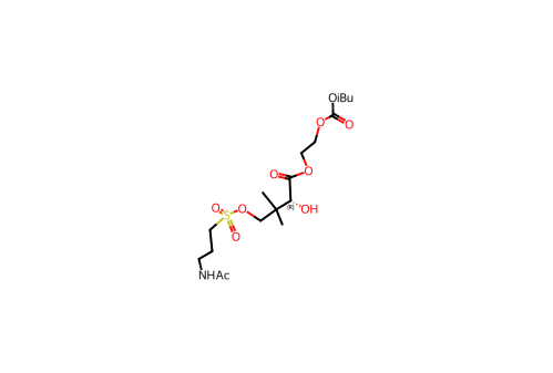 CC(=O)NCCCS(=O)(=O)OCC(C)(C)[C@@H](O)C(=O)OCCOC(=O)OCC(C)C